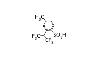 Cc1ccc(S(=O)(=O)O)c(C(C(F)(F)F)C(F)(F)F)c1